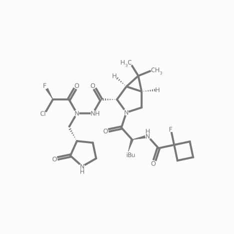 CC[C@H](C)[C@H](NC(=O)C1(F)CCC1)C(=O)N1C[C@H]2[C@@H]([C@H]1C(=O)NN(C[C@@H]1CCNC1=O)C(=O)[C@H](F)Cl)C2(C)C